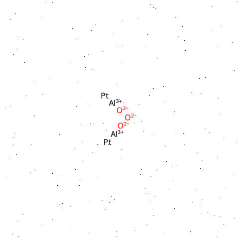 [Al+3].[Al+3].[O-2].[O-2].[O-2].[Pt].[Pt]